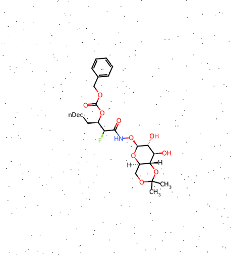 CCCCCCCCCCC[C@@H](OC(=O)OCc1ccccc1)[C@H](F)C(=O)NO[C@@H]1O[C@@H]2COC(C)(C)O[C@H]2[C@H](O)[C@H]1O